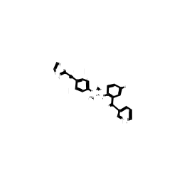 CC(C)(c1ccc(S(=O)(=O)Nc2ccc(Cl)cc2C(=O)c2cccnc2)cc1)c1ncco1